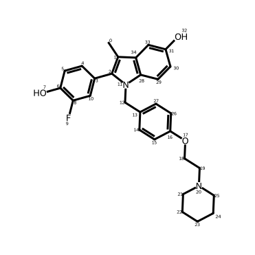 Cc1c(-c2ccc(O)c(F)c2)n(Cc2ccc(OCCN3CCCCC3)cc2)c2ccc(O)cc12